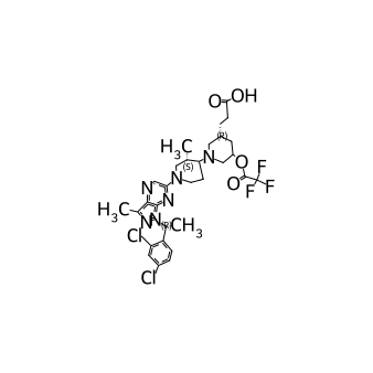 Cc1nn([C@H](C)c2ccc(Cl)cc2Cl)c2nc(N3CCC(N4CC(OC(=O)C(F)(F)F)C[C@@H](CCC(=O)O)C4)[C@@H](C)C3)cnc12